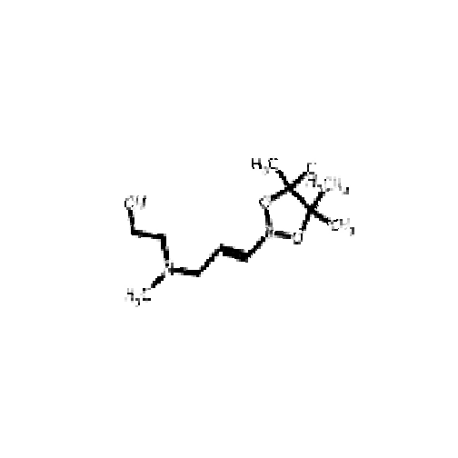 CN(CC=CB1OC(C)(C)C(C)(C)O1)CCO